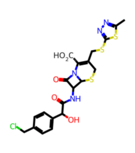 Cc1nnc(SCC2=C(C(=O)O)N3C(=O)C(NC(=O)C(O)c4ccc(CCl)cc4)C3SC2)s1